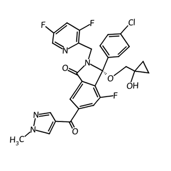 Cn1cc(C(=O)c2cc(F)c3c(c2)C(=O)N(Cc2ncc(F)cc2F)[C@@]3(OCC2(O)CC2)c2ccc(Cl)cc2)cn1